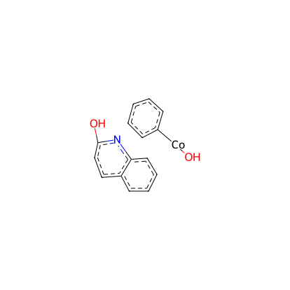 Oc1ccc2ccccc2n1.[OH][Co][c]1ccccc1